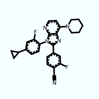 N#Cc1ccc(-c2nc3c(N4CCCCC4)ccnc3n2-c2ccc(C3CC3)cc2F)cc1F